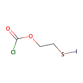 O=C(Cl)OCCSI